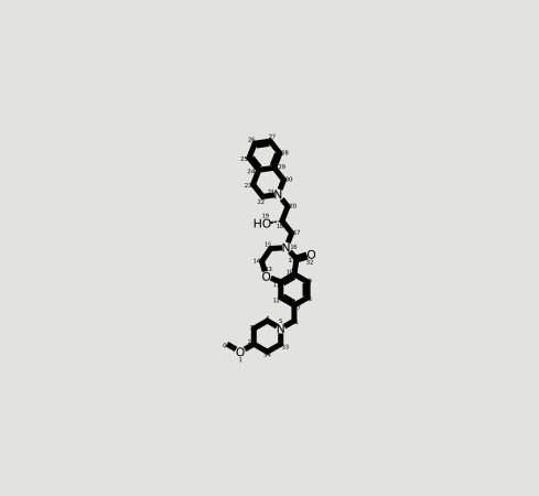 COC1CCN(Cc2ccc3c(c2)OCCN(C[C@H](O)CN2CCc4ccccc4C2)C3=O)CC1